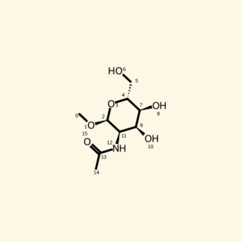 CO[C@H]1O[C@H](CO)[C@@H](O)[C@@H](O)[C@H]1NC(C)=O